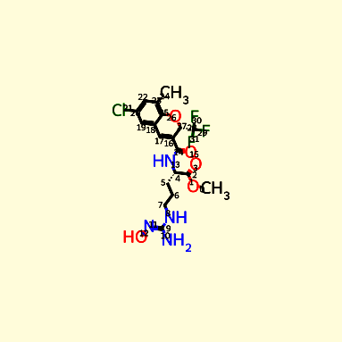 COC(=O)[C@H](CCCNC(N)=NO)NC(=O)C1=Cc2cc(Cl)cc(C)c2O[C@@H]1C(F)(F)F